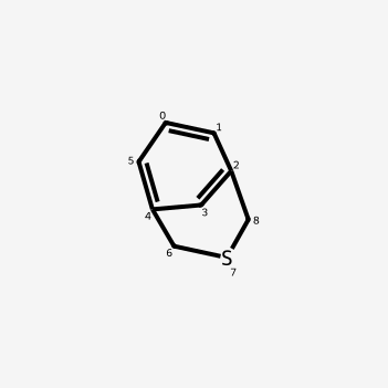 c1cc2cc(c1)CSC2